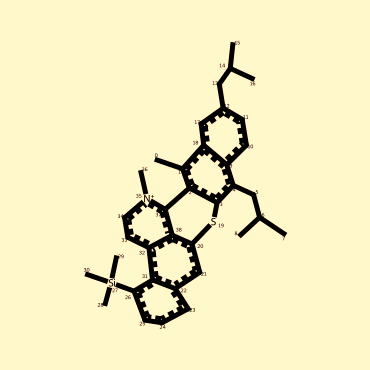 Cc1c2c(c(CC(C)C)c3ccc(CC(C)C)cc13)Sc1cc3cccc([Si](C)(C)C)c3c3cc[n+](C)c-2c13